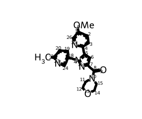 COc1ccc(-c2cc(C(=O)N3CCOCC3)nn2-c2ccc(C)nc2)nc1